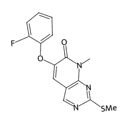 CSc1ncc2cc(Oc3ccccc3F)c(=O)n(C)c2n1